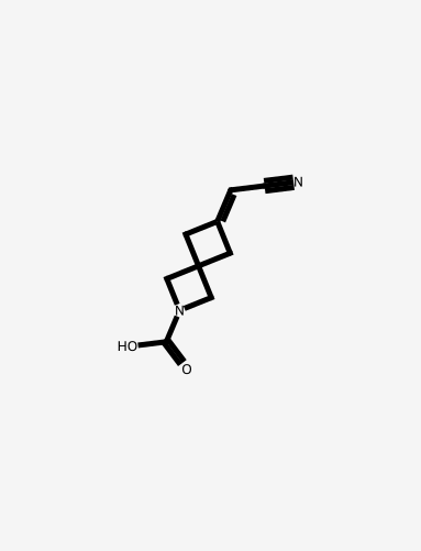 N#CC=C1CC2(C1)CN(C(=O)O)C2